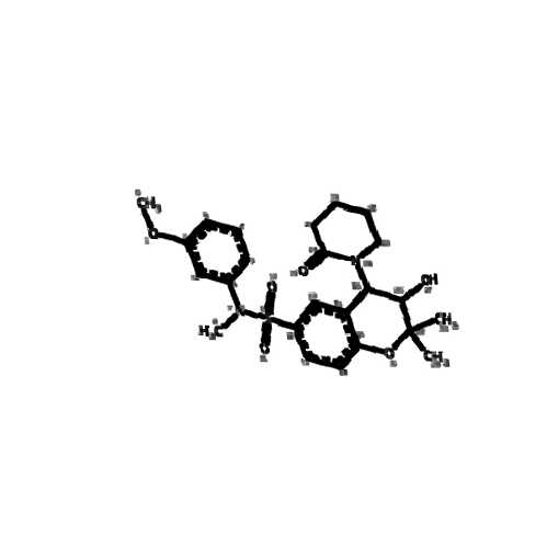 COc1cccc(N(C)S(=O)(=O)c2ccc3c(c2)C(N2CCCCC2=O)C(O)C(C)(C)O3)c1